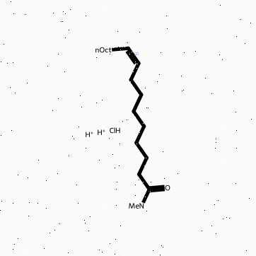 CCCCCCCC/C=C\CCCCCCCC(=O)NC.Cl.[H+].[H+]